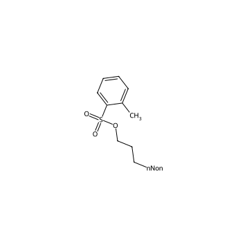 CCCCCCCCCCCCOS(=O)(=O)c1ccccc1C